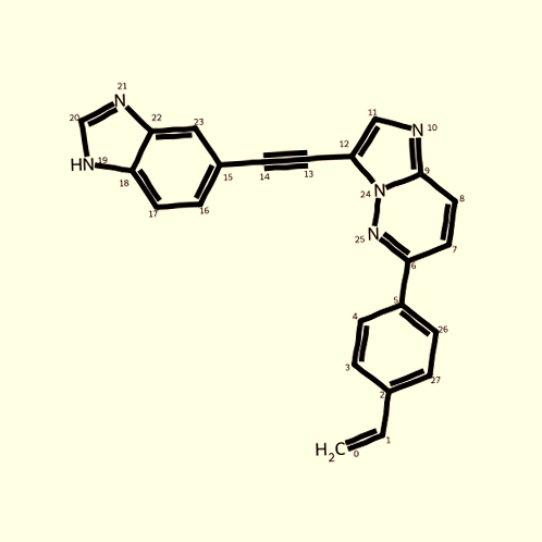 C=Cc1ccc(-c2ccc3ncc(C#Cc4ccc5[nH]cnc5c4)n3n2)cc1